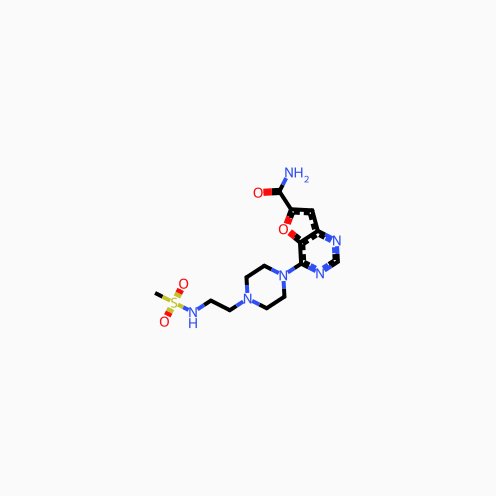 CS(=O)(=O)NCCN1CCN(c2ncnc3cc(C(N)=O)oc23)CC1